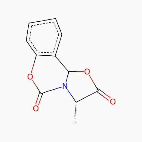 C[C@H]1C(=O)OC2c3ccccc3OC(=O)N21